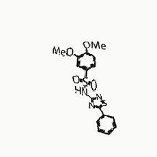 COc1ccc(S(=O)(=O)Nc2nsc(-c3ccccc3)n2)cc1OC